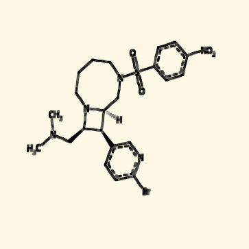 CN(C)C[C@@H]1[C@H](c2ccc(Br)nc2)[C@@H]2CN(S(=O)(=O)c3ccc([N+](=O)[O-])cc3)CCCCN12